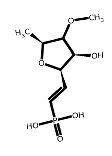 COC1[C@H](C)O[C@H](/C=C/P(=O)(O)O)[C@@H]1O